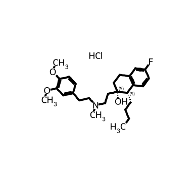 CCCC[C@H]1c2ccc(F)cc2CC[C@]1(O)CCN(C)CCc1ccc(OC)c(OC)c1.Cl